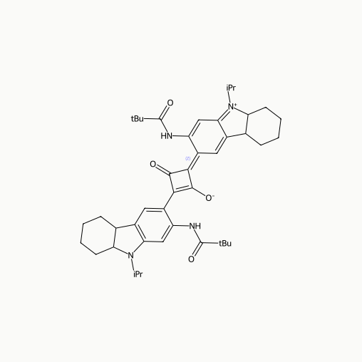 CC(C)N1c2cc(NC(=O)C(C)(C)C)c(C3=C([O-])/C(=c4\cc5c(cc4NC(=O)C(C)(C)C)=[N+](C(C)C)C4CCCCC54)C3=O)cc2C2CCCCC21